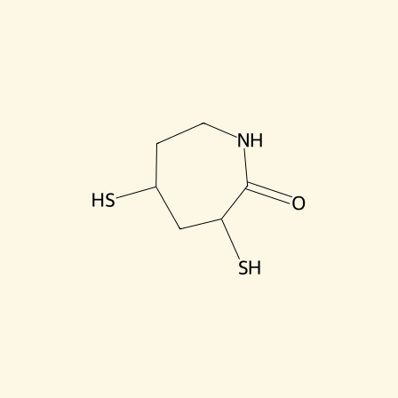 O=C1NCCC(S)CC1S